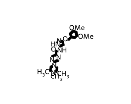 COc1cc(COc2cc(NC(=O)c3cnc(N4CC(C)N(C)C(C)C4)cn3)[nH]n2)cc(OC)c1